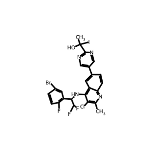 Cc1nc2ccc(-c3cnc(C(C)(O)I)nc3)cc2c(N[C@H](c2cc(Br)ccc2F)C(F)F)c1Cl